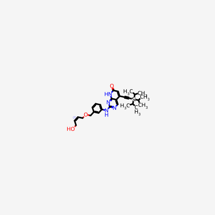 CC(C)[Si](C#Cc1cc(=O)[nH]c2nc(Nc3cccc(COC/C=C\CO)c3)ncc12)(C(C)C)C(C)C